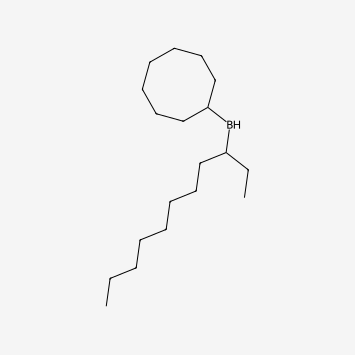 CCCCCCCCC(BC1CCCCCCC1)CC